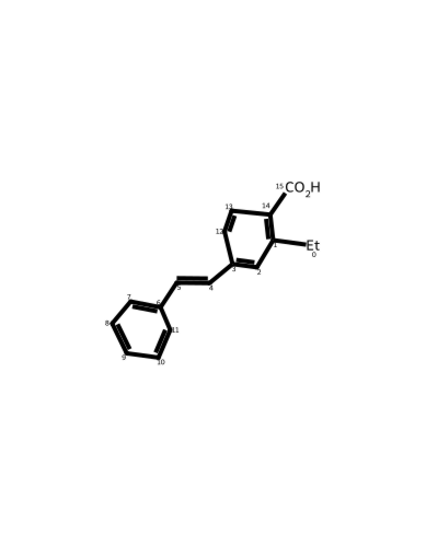 CCc1cc(C=Cc2ccccc2)ccc1C(=O)O